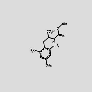 CC(=O)Oc1cc(C)c(CC(NC(=O)OC(C)(C)C)C(=O)O)c(C)c1